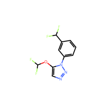 FC(F)Oc1[c]nnn1-c1cccc(C(F)F)c1